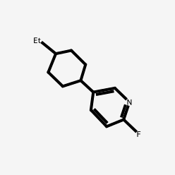 CCC1CCC(c2ccc(F)nc2)CC1